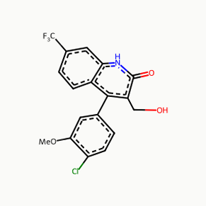 COc1cc(-c2c(CO)c(=O)[nH]c3cc(C(F)(F)F)ccc23)ccc1Cl